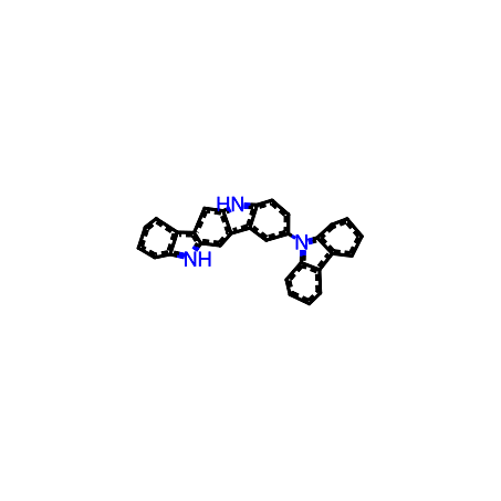 c1ccc2c(c1)[nH]c1cc3c(cc12)[nH]c1ccc(-n2c4ccccc4c4ccccc42)cc13